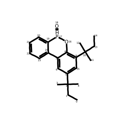 CCC(C)(C)c1cc2c(c(C(C)(C)CC)c1)O[PH](=O)c1ccccc1-2